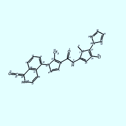 Cn1c(NC(=O)c2cnn(-c3cccc4c3C=CNC4=C=O)c2C(F)(F)F)cc(Cl)c1-n1nccn1